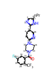 CCCc1cnc(-c2ccc(N3CCN(C(=O)c4cc(F)ccc4C(F)(F)F)CC3)nc2)[nH]1